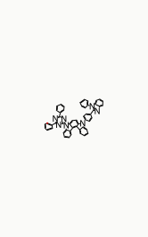 c1ccc(-c2nc(-c3ccccc3)nc(-n3c4ccccc4c4c5c6ccccc6n(-c6ccc(-c7nc8ccccc8n7-c7ccccc7)cc6)c5ccc43)n2)cc1